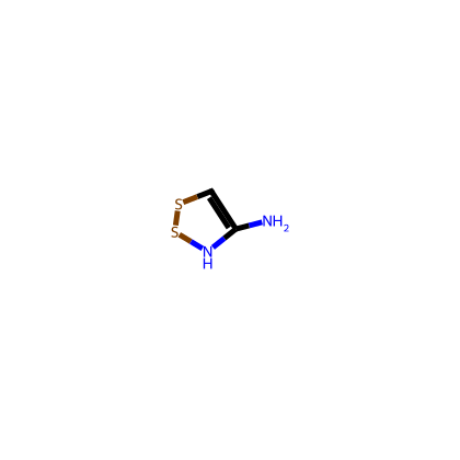 NC1=CSSN1